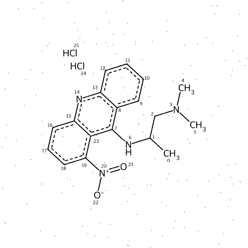 CC(CN(C)C)Nc1c2ccccc2nc2cccc([N+](=O)[O-])c12.Cl.Cl